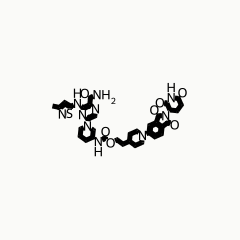 Cc1cc(Nc2nc(N3CCC[C@@H](NC(=O)OCCC4CCN(c5ccc6c(c5)C(=O)N(C5CCC(=O)NC5=O)C6=O)CC4)C3)cnc2C(N)=O)sn1